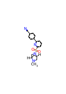 CN1C[C@@H]2C[C@H]1CN2S(=O)(=O)c1cccc(-c2ccc(C#N)cc2)n1